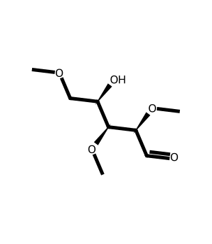 COC[C@@H](O)[C@H](OC)[C@H](C=O)OC